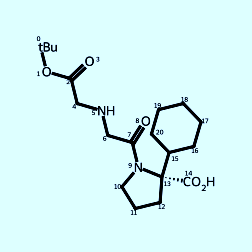 CC(C)(C)OC(=O)CNCC(=O)N1CCC[C@]1(C(=O)O)C1CCCCC1